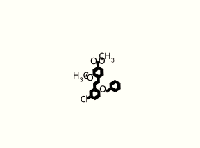 COC(=O)c1ccc(/C=C/c2cc(Cl)ccc2OCc2ccccc2)c(OC)c1